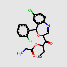 CC(C)(C)CC(OC(=O)CN)C(=O)C1C=Nc2ccc(Cl)cc2C(c2ccccc2Cl)O1